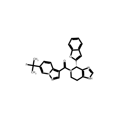 CC(C)(F)c1ccc2c(C(=O)N3CCc4[nH]cnc4[C@H]3c3cc4ccccc4o3)cnn2c1